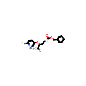 COC(=O)C(CCOC(=O)OCc1ccccc1)Oc1ccc(Cl)nc1